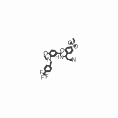 CCS(=O)(=O)c1ccc(C(CC#N)NC(=O)c2ccc3c(c2)N(Cc2ccc(C(F)(F)F)cc2)CCO3)cc1